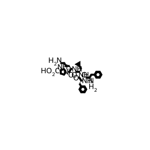 NCCCC[C@@H](NC(=O)[C@@H](CC1CC1)NC(=O)[C@@H](Cc1ccccc1)NC(=O)[C@H](N)Cc1ccccc1)C(=O)N1CCC(N)(C(=O)O)C1